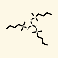 CCCC[Si](C)(C)OB(O[Si](C)(C)CCCC)O[Si](C)(C)CCCC